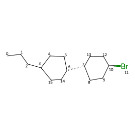 CCCC1CCC([C@H]2CC[C@H](Br)CC2)CC1